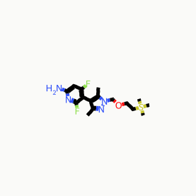 Cc1nn(COCCS(C)(C)C)c(C)c1-c1c(F)cc(N)nc1F